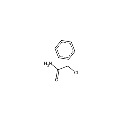 NC(=O)CCl.c1ccccc1